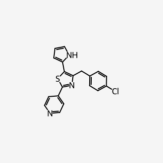 Clc1ccc(Cc2nc(-c3ccncc3)sc2-c2ccc[nH]2)cc1